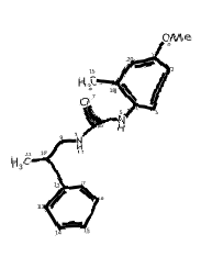 COc1ccc(NC(=O)NCC(C)c2ccccc2)c(C)c1